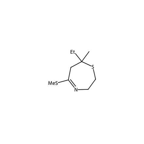 CCC1(C)CC(SC)=NCCS1